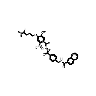 CNC(=O)CCCOc1cc([N+](=O)[O-])c(C(C)ONC(=O)c2ccc(CNC(=O)c3ccc4ccccc4c3)cc2)cc1OC